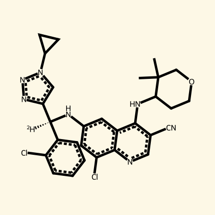 [2H][C@@](Nc1cc(Cl)c2ncc(C#N)c(NC3CCOCC3(C)C)c2c1)(c1cn(C2CC2)nn1)c1ccccc1Cl